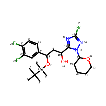 CC(C)(C)[Si](C)(C)OC(CC(O)c1nc(Br)nn1C1CCCCO1)c1ccc(F)c(F)c1